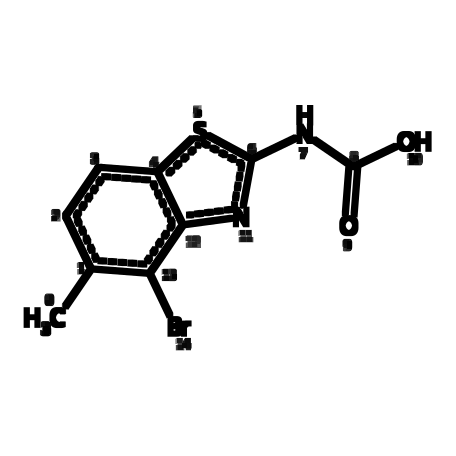 Cc1ccc2sc(NC(=O)O)nc2c1Br